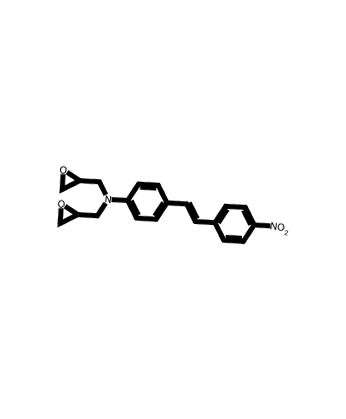 O=[N+]([O-])c1ccc(C=Cc2ccc(N(CC3CO3)CC3CO3)cc2)cc1